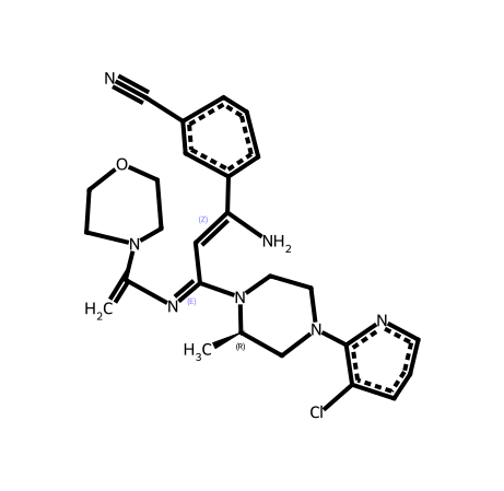 C=C(/N=C(\C=C(/N)c1cccc(C#N)c1)N1CCN(c2ncccc2Cl)C[C@H]1C)N1CCOCC1